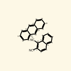 N#Cc1ccc2ccccc2c1C#N.c1ccc2cc3ccccc3cc2c1